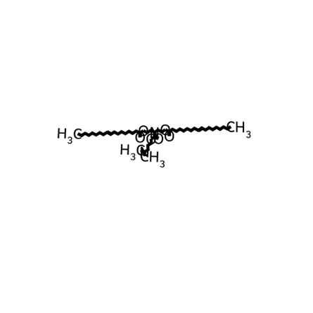 CCCCCCCCC=CCCCCCCCC(=O)OCCN(CCOC(=O)CCCCCCCC=CCCCCCCCC)C(=O)OCCCN(C)C